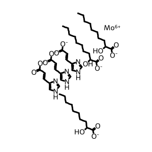 CCCCCCCCC(O)C(=O)[O-].CCCCCCCCC(O)C(=O)[O-].CCCCCCCCC(O)C(=O)[O-].O=C([O-])C=Cc1c[nH]cn1.O=C([O-])C=Cc1c[nH]cn1.O=C([O-])C=Cc1c[nH]cn1.[Mo+6]